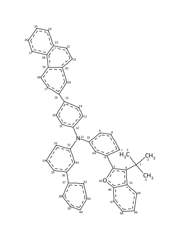 CC(C)(C)c1c(-c2cccc(N(c3ccc(-c4ccc5c(ccc6ccccc65)c4)cc3)c3cccc(-c4ccccc4)c3)c2)oc2ccccc12